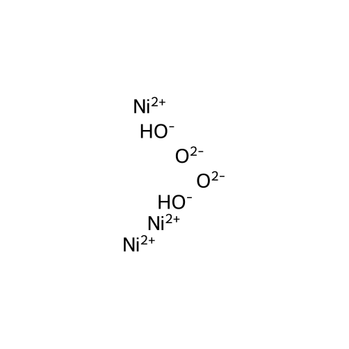 [Ni+2].[Ni+2].[Ni+2].[O-2].[O-2].[OH-].[OH-]